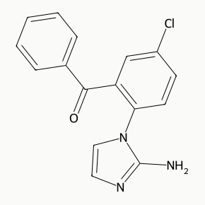 Nc1nccn1-c1ccc(Cl)cc1C(=O)c1ccccc1